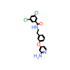 Nc1cc(Oc2cccc(CCNC(=O)c3cc(Cl)cc(Cl)c3)c2)ccn1